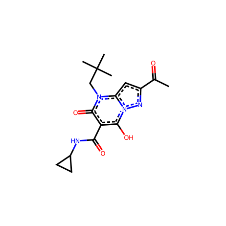 CC(=O)c1cc2n(CC(C)(C)C)c(=O)c(C(=O)NC3CC3)c(O)n2n1